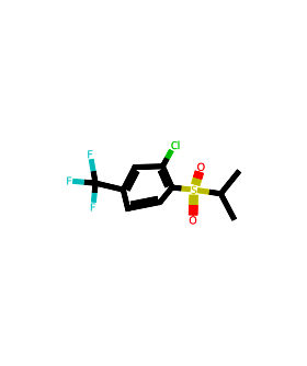 CC(C)S(=O)(=O)c1ccc(C(F)(F)F)cc1Cl